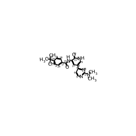 CN(C)c1nccc(-c2c[nH]c(=O)c(NC(=O)c3ccc(C(C)(C)C)cc3)c2)n1